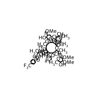 CON=C1C[C@@H](C)O[C@@H](OC2C(C)CC(C)(OC(=O)NC(C)(C)CNS(=O)(=O)c3ccc(C(F)(F)F)cc3)C(=O)C(C)C(OC(=O)CC(C)C)C(C)C(C(C)CO[C@@H]3O[C@H](C)[C@@H](O)[C@@H](OC)[C@H]3OC)OC(=O)C(C)C(O[C@H]3CC(C)N(C)C[C@H](C)O3)C2C)[C@@H]1O